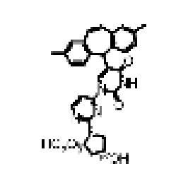 Cc1ccc2c(c1)C=Cc1cc(C)ccc1C2c1cn(-c2ccnc(N3C[C@H](O)C[C@H]3C(=O)O)n2)c(=O)[nH]c1=O